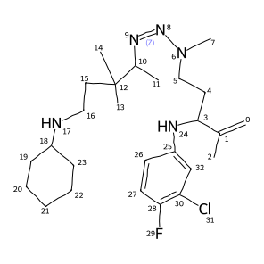 C=C(C)C(CCN(C)/N=N\C(C)C(C)(C)CCNC1CCCCC1)Nc1ccc(F)c(Cl)c1